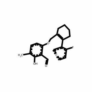 Cc1ccc(OCC2=C(c3ccccc3F)CCCC2)c(C=O)c1O